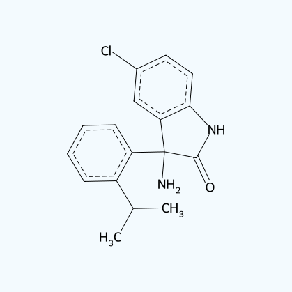 CC(C)c1ccccc1C1(N)C(=O)Nc2ccc(Cl)cc21